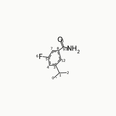 [CH2]C(C)c1cc(F)cc(C(N)=O)c1